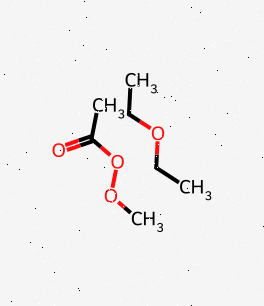 CCOCC.COOC(C)=O